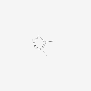 Nc1nnnn1N=O